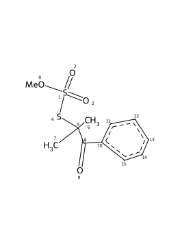 COS(=O)(=O)SC(C)(C)C(=O)c1ccccc1